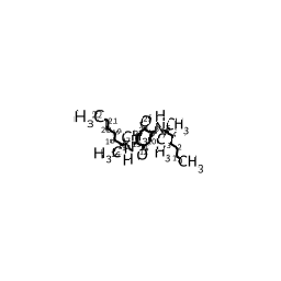 CCCCCC(C)(C)NC1=CC(=O)C(NC(C)(C)CCCCC)=CC1=O